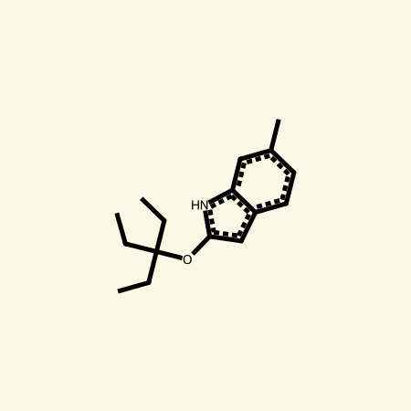 CCC(CC)(CC)Oc1cc2ccc(C)cc2[nH]1